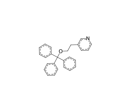 c1ccc(C(OCCc2cccnc2)(c2ccccc2)c2ccccc2)cc1